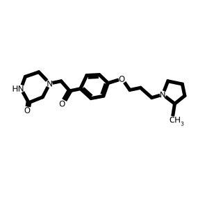 CC1CCCN1CCCOc1ccc(C(=O)CN2CCNC(=O)C2)cc1